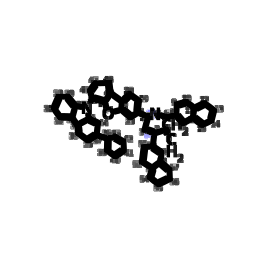 C=C/C(=C\C(=N/C(=C)c1ccc2ccccc2c1)c1ccc2c(c1)oc1c(-n3c4ccccc4c4ccc(-c5ccccc5)cc43)cccc12)c1ccc2ccccc2c1